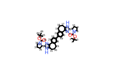 CC(C)(C)OC(=O)N1CCC[C@H]1c1nc2c([nH]1)CCCc1cc(-c3ccc4c(c3)CCCc3[nH]c([C@@H]5CCCN5C(=O)OC(C)(C)C)nc3-4)ccc1-2